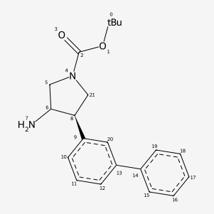 CC(C)(C)OC(=O)N1CC(N)[C@H](c2cccc(-c3ccccc3)c2)C1